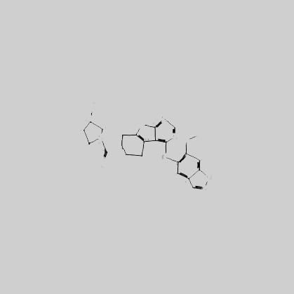 CCOc1cc2[nH]ncc2cc1Nc1ncnc2sc3c(c12)CC[C@H](C(=O)N1CC[C@@H](O)C1)C3